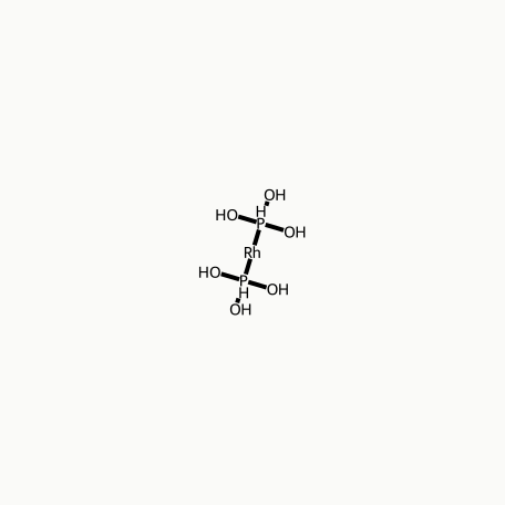 O[PH](O)(O)[Rh][PH](O)(O)O